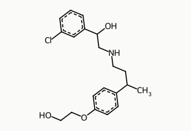 CC(CCNCC(O)c1cccc(Cl)c1)c1ccc(OCCO)cc1